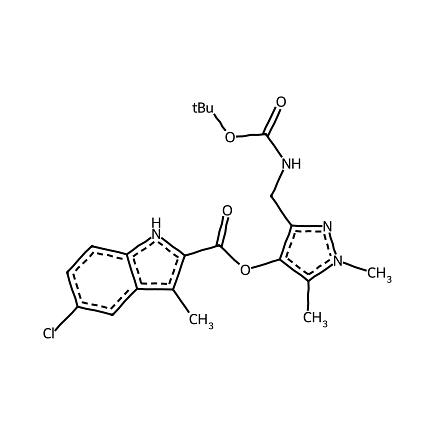 Cc1c(C(=O)Oc2c(CNC(=O)OC(C)(C)C)nn(C)c2C)[nH]c2ccc(Cl)cc12